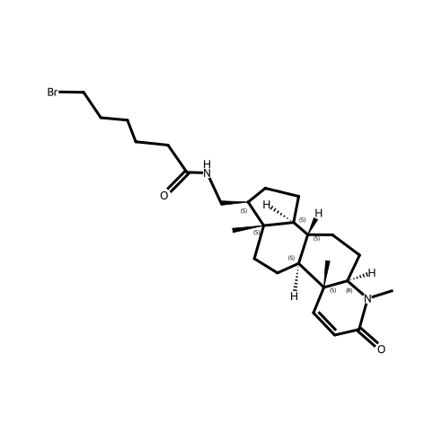 CN1C(=O)C=C[C@]2(C)[C@H]3CC[C@]4(C)[C@@H](CNC(=O)CCCCCBr)CC[C@H]4[C@@H]3CC[C@@H]12